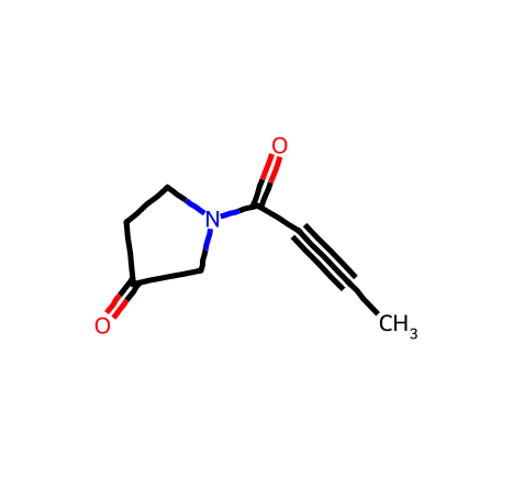 CC#CC(=O)N1CCC(=O)C1